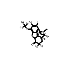 [2H]c1c([2H])c(OC([2H])([2H])[2H])c2c3c1C[C@@]1([2H])N(C)CC[C@@]34C(O2)C(=O)C([2H])([2H])C[C@]41[2H]